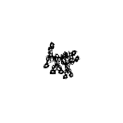 [N-]=[N+]=NCC(COCC(COC(COCc1ccccc1)COCc1ccccc1)COC(COCc1ccccc1)COCc1ccccc1)COCC(COC(COCc1ccccc1)COCc1ccccc1)COC(COCc1ccccc1)COCc1ccccc1